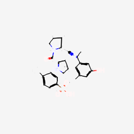 CCc1cc(O)cc(C)c1[C@@H]1CN[C@H](C(=O)N2CCC[C@H]2C#N)C1.Cc1ccc(S(=O)(=O)O)cc1